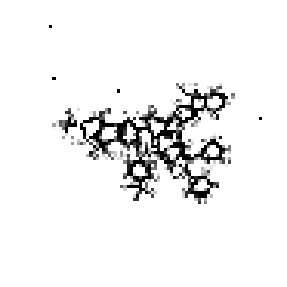 CC(C)(C)c1ccc(Nc2cc3c(cc2-c2ccc4c5cc6c(cc5n5c4c2Bc2cc4oc(-c7ccccc7)c(-c7ccccc7)c4cc2-5)-c2ccccc2C6(C)C)-c2ccc(C(C)(C)C)cc2C3(C)C)cc1